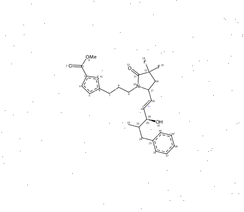 COC(=O)c1ccc(CCCN2C(=O)C(F)(F)CC2/C=C/[C@@H](O)C(C)Cc2ccccc2)s1